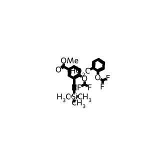 COC(=O)c1ccc(OC(F)F)c(C#C[Si](C)(C)C)c1.O=C(O)c1ccccc1OC(F)F